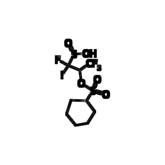 O=S(O)C(F)(I)C(OS(=O)(=O)C1CCCCC1)C(F)(F)F